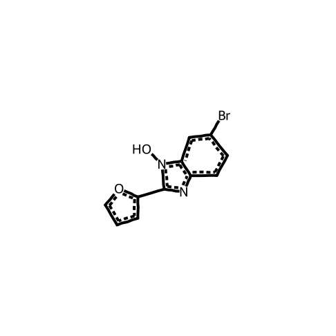 On1c(-c2ccco2)nc2ccc(Br)cc21